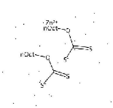 CCCCCCCCOC(=S)[S-].CCCCCCCCOC(=S)[S-].[Zn+2]